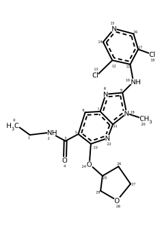 CCNC(=O)c1cc2nc(Nc3c(Cl)cncc3Cl)n(C)c2nc1OC1CCOC1